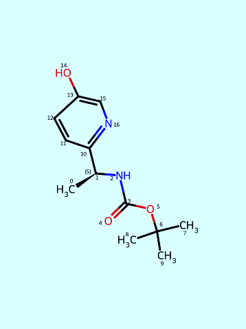 C[C@H](NC(=O)OC(C)(C)C)c1ccc(O)cn1